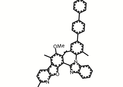 COc1c(C)c(-c2nc3ccccc3n2-c2c(C)cc(-c3ccc(-c4ccccc4)cc3)cc2C)c2oc3nc(C)ccc3c2c1C